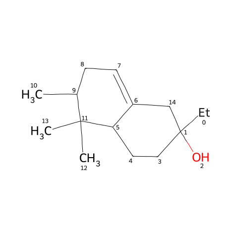 CCC1(O)CCC2C(=CCC(C)C2(C)C)C1